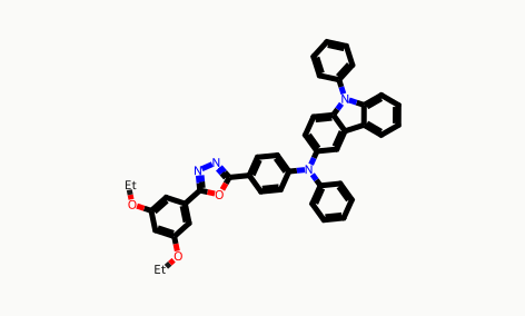 CCOc1cc(OCC)cc(-c2nnc(-c3ccc(N(c4ccccc4)c4ccc5c(c4)c4ccccc4n5-c4ccccc4)cc3)o2)c1